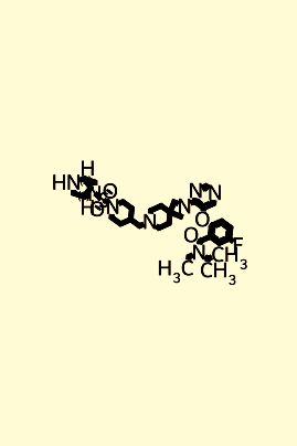 CCN(C(=O)c1cc(F)ccc1Oc1cncnc1N1CC2(CCN(CC3CCN(S(=O)(=O)N4C[C@@H]5C[C@H]4CN5)CC3)CC2)C1)C(C)C